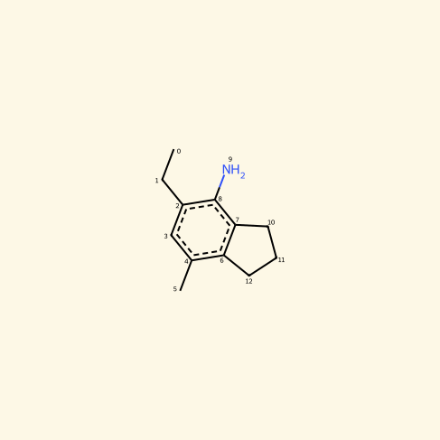 CCc1cc(C)c2c(c1N)CCC2